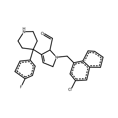 O=CC1C(C2(c3ccc(F)cc3)CCNCC2)=CCN1Cc1cc(Cl)cc2ccccc12